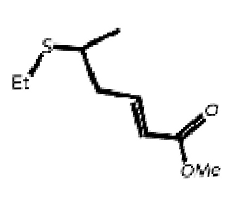 CCSC(C)CC=CC(=O)OC